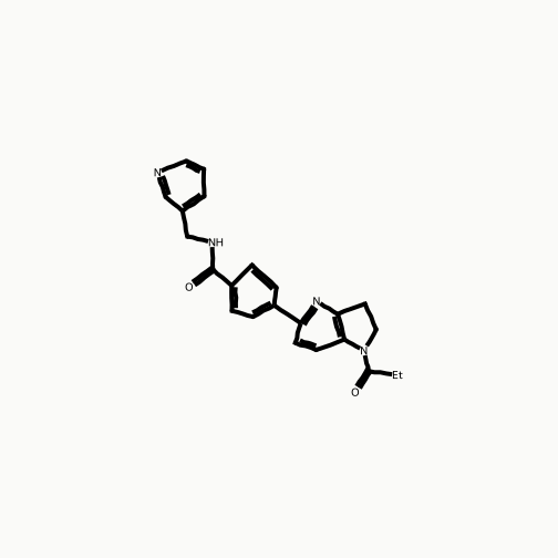 CCC(=O)N1CCc2nc(-c3ccc(C(=O)NCc4cccnc4)cc3)ccc21